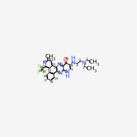 CCN(CC)CCNc1c[nH]c2nc(-c3ccccc3)c(-c3cc(C)nc(C(F)(F)F)c3)nc2c1=O